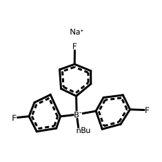 CCCC[B-](c1ccc(F)cc1)(c1ccc(F)cc1)c1ccc(F)cc1.[Na+]